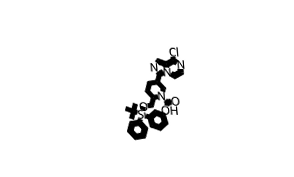 CC(C)(C)[Si](OCC1CCC(c2ncc3c(Cl)nccn23)CN1C(=O)O)(c1ccccc1)c1ccccc1